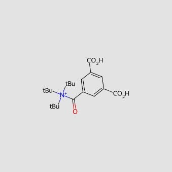 CC(C)(C)[N+](C(=O)c1cc(C(=O)O)cc(C(=O)O)c1)(C(C)(C)C)C(C)(C)C